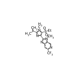 C=C(C)c1nc(-c2nc3cc(C(F)(F)F)ncc3n2C)c(S(=O)(=O)CC)n1C